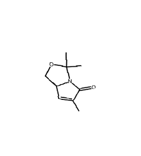 CC1=CC2COC(C)(C)N2C1=O